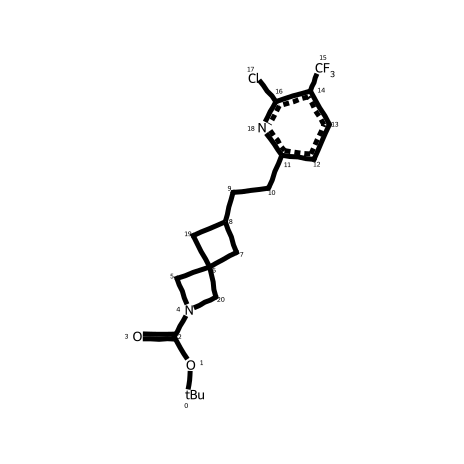 CC(C)(C)OC(=O)N1CC2(CC(CCc3ccc(C(F)(F)F)c(Cl)n3)C2)C1